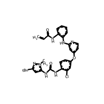 C=CC(=O)Nc1ccccc1Nc1cc(Oc2ccc(NC(=O)Nc3cc(C(C)(C)C)nn3C)c(Cl)c2)ccn1